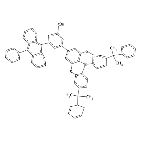 CC(C)(C)c1cc(-c2cc3c4c(c2)Sc2cc(C(C)(C)C5C=CC=CC5)ccc2B4c2ccc(C(C)(C)c4ccccc4)cc2S3)cc(-c2c3ccccc3c(-c3ccccc3)c3ccccc23)c1